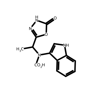 CC(c1n[nH]c(=O)o1)N(C(=O)O)c1c[nH]c2ccccc12